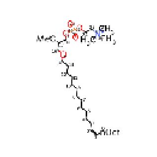 CCCCCCCC/C=C\CCCCCCCCCCCCOCC(COP(=O)([O-])OCC[N+](C)(C)C)OC